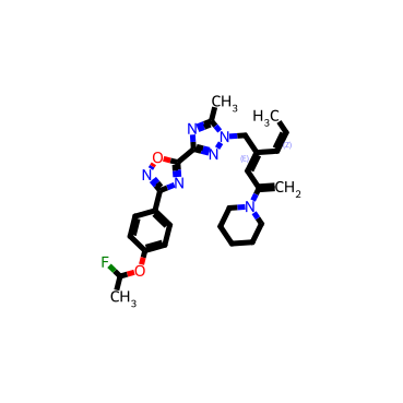 C=C(/C=C(\C=C/C)Cn1nc(-c2nc(-c3ccc(OC(C)F)cc3)no2)nc1C)N1CCCCC1